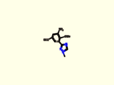 COc1c(-c2ncn(C)n2)cc(C=O)cc1[N+](=O)[O-]